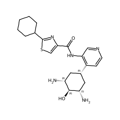 N[C@@H]1C[C@H](c2ccncc2NC(=O)c2csc(C3CCCCC3)n2)C[C@H](N)[C@H]1O